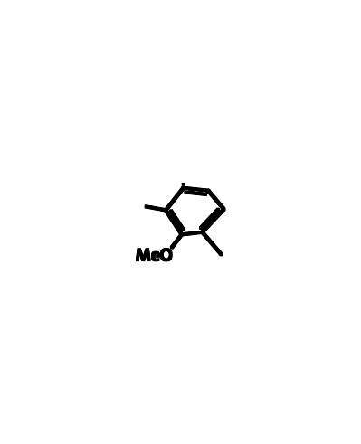 COc1c(C)[c]ccc1C